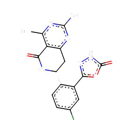 Cc1nc(N)nc2c1C(=O)N[C@@H](c1ccc(F)cc1-c1n[nH]c(=O)o1)C2